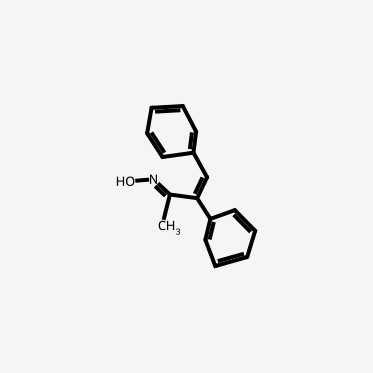 CC(=NO)C(=Cc1ccccc1)c1ccccc1